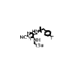 CC(C)(C)CNc1nc(C#N)ncc1CNC(C)(C)Cc1ccc(F)cc1